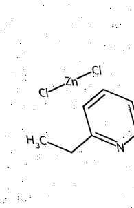 CCc1ccc[c]n1.[Cl][Zn][Cl]